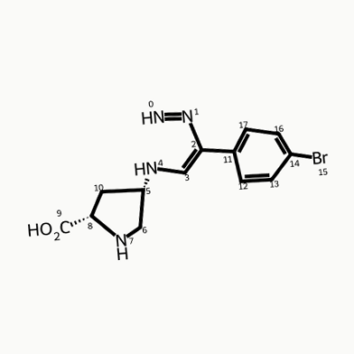 N=N/C(=C\N[C@@H]1CN[C@H](C(=O)O)C1)c1ccc(Br)cc1